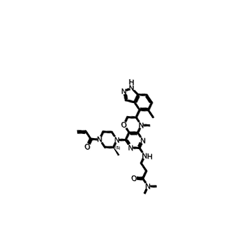 C=CC(=O)N1CCN(c2nc(NCCC(=O)N(C)C)nc3c2OCC(c2c(C)ccc4[nH]ncc24)N3C)[C@@H](C)C1